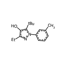 CCc1nn(-c2cccc(C)c2)c(C(C)(C)C)c1O